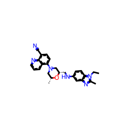 CCn1c(C)nc2cc(NC[C@H]3CN(c4ccc(C#N)c5ncccc45)C[C@@H](C)O3)ccc21